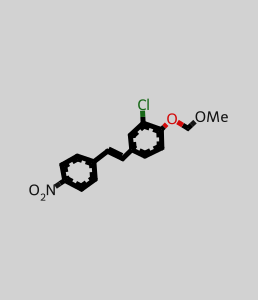 COCOc1ccc(/C=C/c2ccc([N+](=O)[O-])cc2)cc1Cl